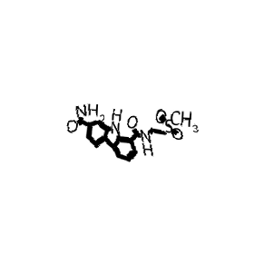 CS(=O)(=O)CCNC(=O)c1cccc2c1[nH]c1cc(C(N)=O)ccc12